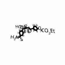 CCOC(=O)COc1ccc(C(=O)CC(CC)(C(=O)O)C(=O)c2ccc(C(N)=S)cc2)cc1